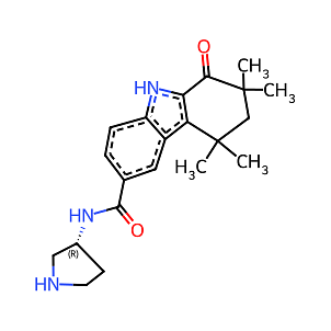 CC1(C)CC(C)(C)c2c([nH]c3ccc(C(=O)N[C@@H]4CCNC4)cc23)C1=O